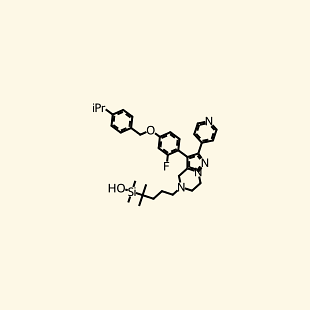 CC(C)c1ccc(COc2ccc(-c3c(-c4ccncc4)nn4c3CN(CCCC(C)(C)[Si](C)(C)O)CC4)c(F)c2)cc1